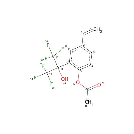 C=Cc1ccc(OC(C)=O)c(C(O)(C(F)(F)F)C(F)(F)F)c1